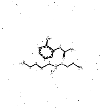 NC(=O)Oc1ccccc1O.NCCCCNCCCN.[Fe]